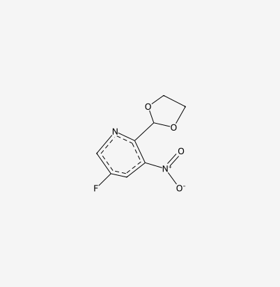 O=[N+]([O-])c1cc(F)cnc1C1OCCO1